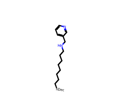 CCCCCCCCCCCCCCCCCCNCc1cccnc1